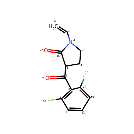 C=CN1CCC(C(=O)c2c(F)cccc2Cl)C1=O